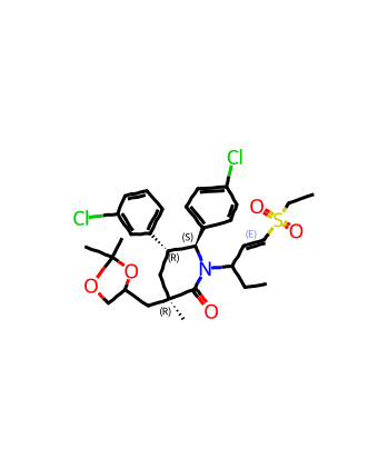 CCC(/C=C/S(=O)(=O)CC)N1C(=O)[C@@](C)(CC2COC(C)(C)O2)C[C@H](c2cccc(Cl)c2)[C@H]1c1ccc(Cl)cc1